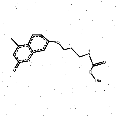 Cc1cc(=O)oc2cc(OCCCNC(=O)OC(C)(C)C)ccc12